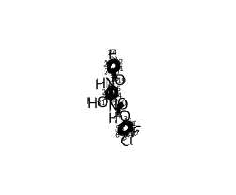 O=C(COc1ccc(Cl)c(F)c1)NC12CCC(NC(=O)c3ccc(F)cc3)(CC1)CC2O